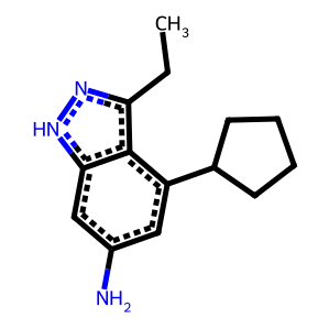 CCc1n[nH]c2cc(N)cc(C3CCCC3)c12